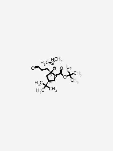 C[SiH](C)O[C@@]1(CCC=O)C[C@H](C(C)(C)C)CN1C(=O)OC(C)(C)C